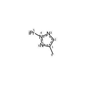 Cc1cnn(C(C)C)n1